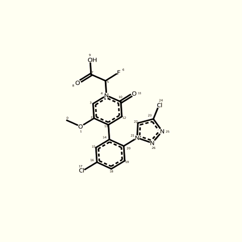 COc1cn(C(F)C(=O)O)c(=O)cc1-c1cc(Cl)ccc1-n1cc(Cl)nn1